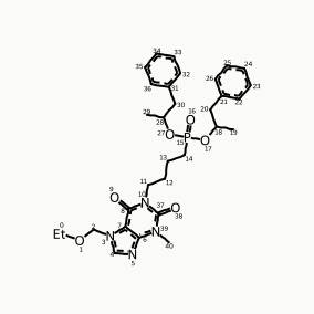 CCOCn1cnc2c1c(=O)n(CCCCP(=O)(OC(C)Cc1ccccc1)OC(C)Cc1ccccc1)c(=O)n2C